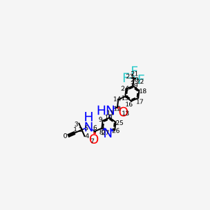 C#CC(C)(C)NC(=O)c1cc(NC(=O)Cc2cccc(C(F)(F)F)c2)ccn1